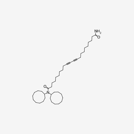 NC(=O)CCCCCCCCC#CC#CCCCCCCCCC(=O)N(C1CCCCCCCCC1)C1CCCCCCCCC1